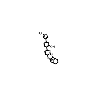 Cc1cc(-c2ccc(-c3ccc(O[C@H]4CC5CCCC(N5)[C@H]4F)nn3)c(O)c2)cs1